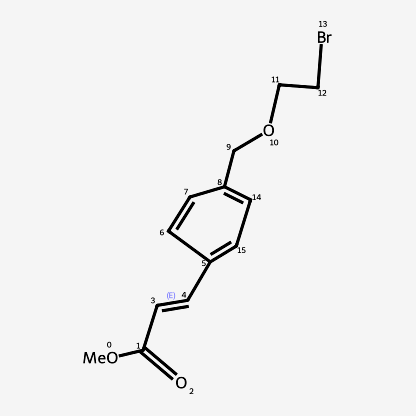 COC(=O)/C=C/c1ccc(COCCBr)cc1